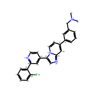 CN(C)Cc1cccc(-c2ccn3c(-c4ccnc(-c5ccccc5F)c4)cnc3c2)c1